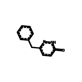 O=c1ccc(Cc2ccccc2)n[nH]1